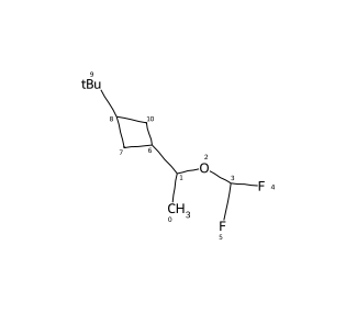 CC(OC(F)F)C1CC(C(C)(C)C)C1